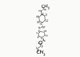 CCCOC[C@H]1CC[C@H](CC[C@H]2CC[C@H](CCC)CC2)CC1